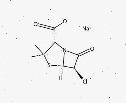 CC1(C)S[C@@H]2[C@H](Cl)C(=O)N2[C@H]1C(=O)[O-].[Na+]